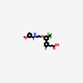 COc1cccc([C@@H](C)NCCCOc2cc(-c3ccc(F)c(CCC(=O)O)c3)cc(C(F)(F)F)c2)c1